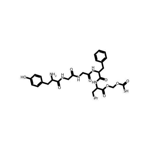 CC(C)CC(NC(=O)C(Cc1ccccc1)NC(=O)CNC(=O)CNC(=O)C(N)Cc1ccc(O)cc1)C(=O)OCOC(=O)S